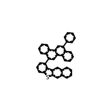 c1ccc(-c2cc3c4ccccc4c(-c4cccc5sc6cc7ccccc7cc6c45)cc3c3ccccc23)cc1